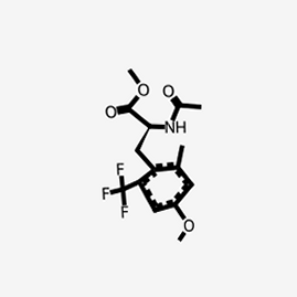 COC(=O)[C@H](Cc1c(C)cc(OC)cc1C(F)(F)F)NC(C)=O